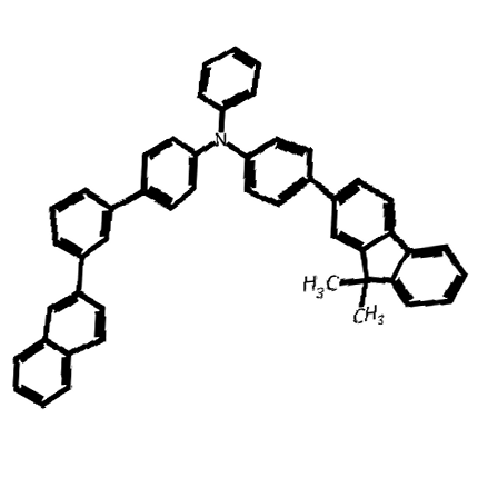 CC1(C)c2ccccc2-c2ccc(-c3ccc(N(c4ccccc4)c4ccc(-c5cccc(-c6ccc7ccccc7c6)c5)cc4)cc3)cc21